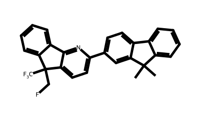 CC1(C)c2ccccc2-c2ccc(-c3ccc4c(n3)-c3ccccc3C4(CF)C(F)(F)F)cc21